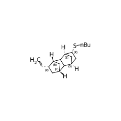 C=C[C@H]1C[C@@H]2C[C@H]1C1C2[C@@H]2C[C@@H](SCCCC)[C@H]1C2